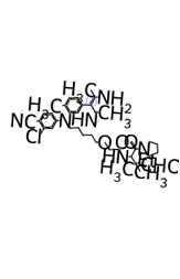 CCC(C)(C)C(NC(=O)COCCCCCN(c1ccc(C#N)c(Cl)c1)c1cc(/C(C(C)=N)=C(\C)N)ccc1C)C(=O)N1CCCC1C=O